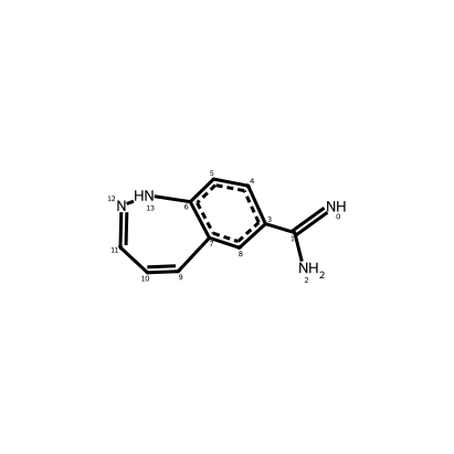 N=C(N)c1ccc2c(c1)C=CC=NN2